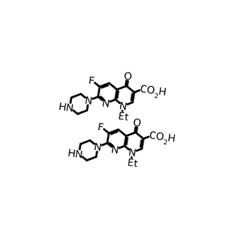 CCn1cc(C(=O)O)c(=O)c2cc(F)c(N3CCNCC3)nc21.CCn1cc(C(=O)O)c(=O)c2cc(F)c(N3CCNCC3)nc21